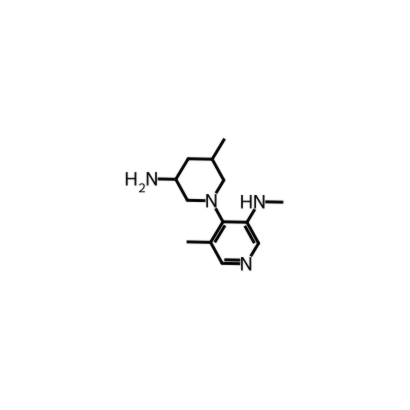 CNc1cncc(C)c1N1CC(C)CC(N)C1